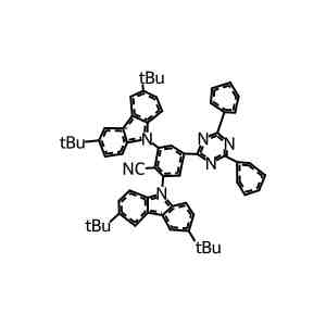 CC(C)(C)c1ccc2c(c1)c1cc(C(C)(C)C)ccc1n2-c1cc(-c2nc(-c3ccccc3)nc(-c3ccccc3)n2)cc(-n2c3ccc(C(C)(C)C)cc3c3cc(C(C)(C)C)ccc32)c1C#N